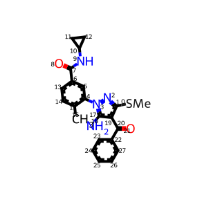 CSc1nn(-c2cc(C(=O)NC3CC3)ccc2C)c(N)c1C(=O)c1ccccc1